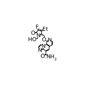 CC[C@@H]1[C@H](F)C(=O)N(CO)[C@@H]1COc1nccc2cc(C(N)=O)c3nccn3c12